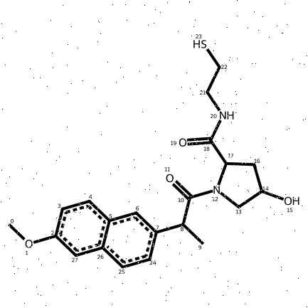 COc1ccc2cc(C(C)C(=O)N3CC(O)CC3C(=O)NCCS)ccc2c1